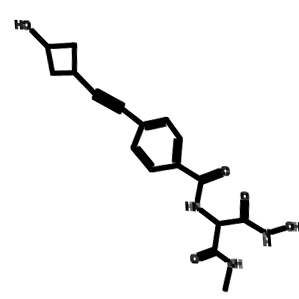 CNC(=O)C(NC(=O)c1ccc(C#CC2CC(O)C2)cc1)C(=O)NO